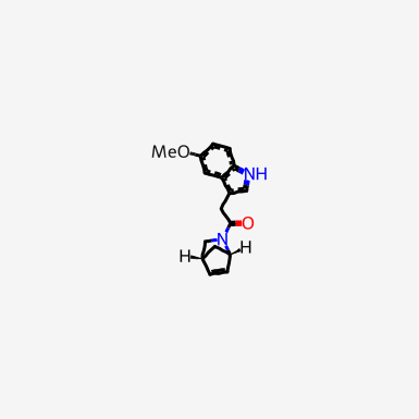 COc1ccc2[nH]cc(CC(=O)N3C[C@H]4C=C[C@@H]3C4)c2c1